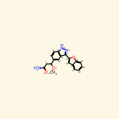 COC(CC(N)=O)c1ccc2[nH]nc(-c3cc4ccccc4o3)c2c1